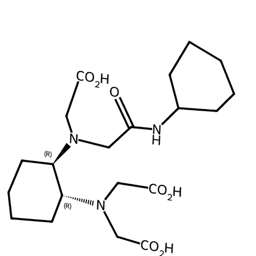 O=C(O)CN(CC(=O)O)[C@@H]1CCCC[C@H]1N(CC(=O)O)CC(=O)NC1CCCCC1